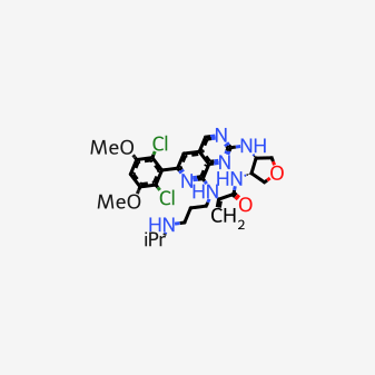 C=CC(=O)N[C@H]1COC[C@H]1Nc1ncc2cc(-c3c(Cl)c(OC)cc(OC)c3Cl)nc(NCCCNC(C)C)c2n1